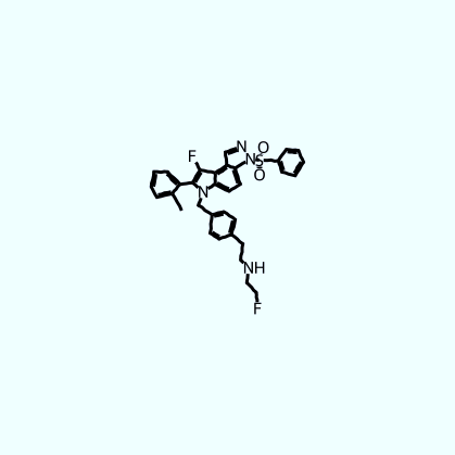 Cc1ccccc1-c1c(F)c2c3cnn(S(=O)(=O)c4ccccc4)c3ccc2n1Cc1ccc(CCNCCF)cc1